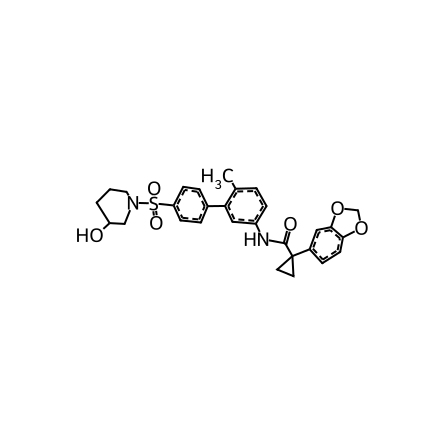 Cc1ccc(NC(=O)C2(c3ccc4c(c3)OCO4)CC2)cc1-c1ccc(S(=O)(=O)N2CCCC(O)C2)cc1